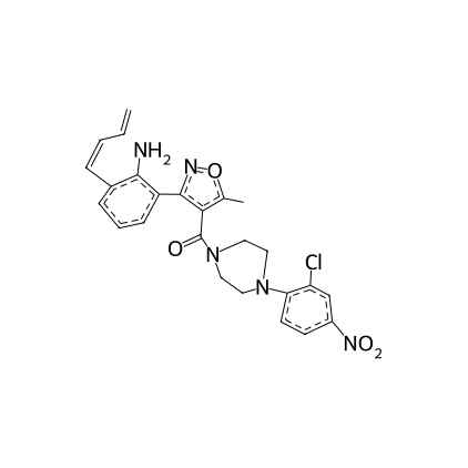 C=C/C=C\c1cccc(-c2noc(C)c2C(=O)N2CCN(c3ccc([N+](=O)[O-])cc3Cl)CC2)c1N